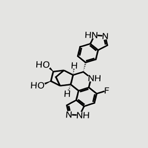 O[C@@H]1C2CC([C@H]3[C@H](c4ccc5[nH]ncc5c4)Nc4c(F)cc5[nH]ncc5c4[C@@H]23)[C@@H]1O